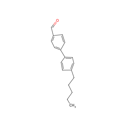 CCCCCc1ccc(-c2ccc(C=O)cc2)cc1